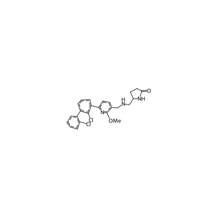 COc1nc(-c2cccc(-c3ccccc3Cl)c2Cl)ccc1CNCC1CCC(=O)N1